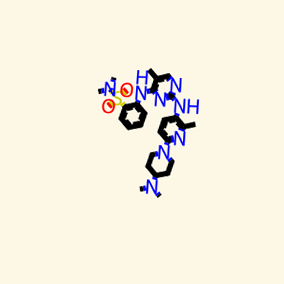 Cc1cnc(Nc2ccc(N3CCC(N(C)C)CC3)nc2C)nc1Nc1ccccc1S(=O)(=O)N(C)C